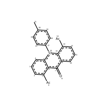 CC(=O)c1cccc2c1c(=O)c1cccc(C(C)=O)c1[s+]2-c1ccc(C)cc1